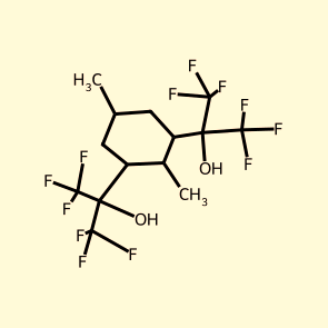 CC1CC(C(O)(C(F)(F)F)C(F)(F)F)C(C)C(C(O)(C(F)(F)F)C(F)(F)F)C1